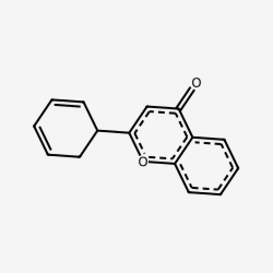 O=c1cc(C2C=CC=CC2)oc2ccccc12